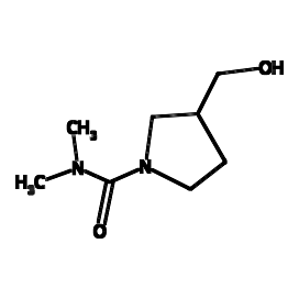 CN(C)C(=O)N1CCC(CO)C1